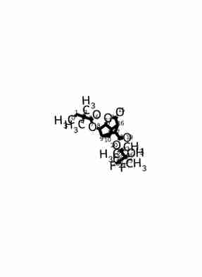 CCC(C)(C)C(=O)OC1C2CC3C1OC(=O)C3C2C(=O)OC(C)(C)C(C)(O)C(F)(F)F